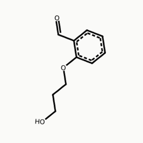 O=Cc1ccccc1OCCCO